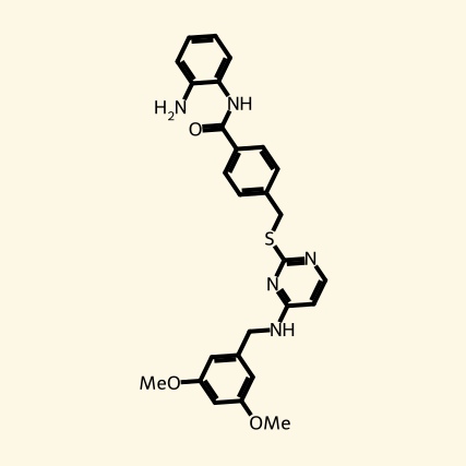 COc1cc(CNc2ccnc(SCc3ccc(C(=O)Nc4ccccc4N)cc3)n2)cc(OC)c1